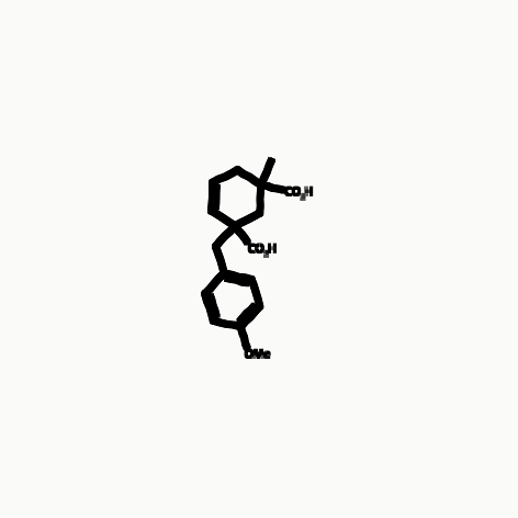 COc1ccc(CC2(C(=O)O)C=CCC(C)(C(=O)O)C2)cc1